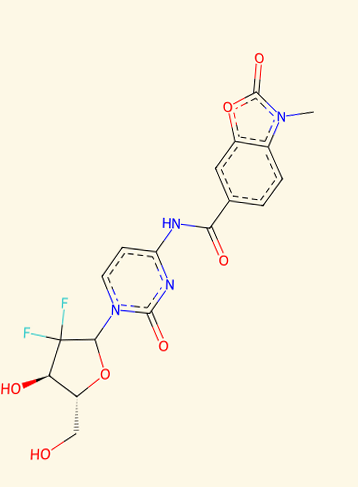 Cn1c(=O)oc2cc(C(=O)Nc3ccn(C4O[C@H](CO)[C@@H](O)C4(F)F)c(=O)n3)ccc21